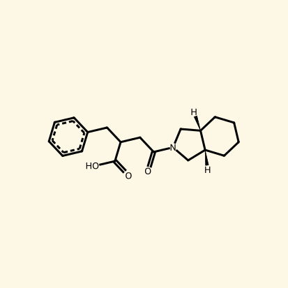 O=C(O)C(CC(=O)N1C[C@H]2CCCC[C@H]2C1)Cc1ccccc1